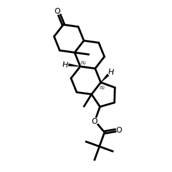 CC(C)(C)C(=O)OC1CC[C@H]2C3CCC4CC(=O)CCC4(C)[C@H]3CCC12C